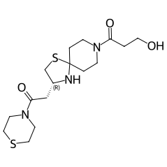 O=C(CCO)N1CCC2(CC1)N[C@H](CC(=O)N1CCSCC1)CS2